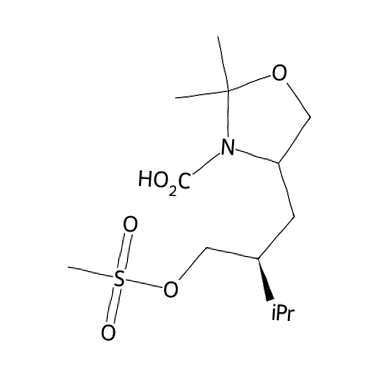 CC(C)[C@@H](COS(C)(=O)=O)CC1COC(C)(C)N1C(=O)O